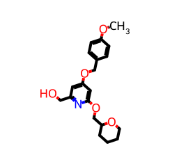 COc1ccc(COc2cc(CO)nc(OCC3CCCCO3)c2)cc1